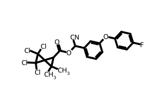 CC1(C)C(C(=O)OC(C#N)c2cccc(Oc3ccc(F)cc3)c2)C12C(Cl)(Cl)C2(Cl)Cl